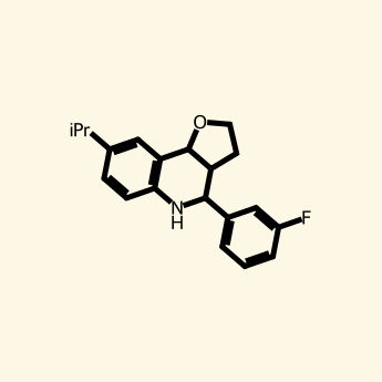 CC(C)c1ccc2c(c1)C1OCCC1C(c1cccc(F)c1)N2